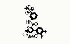 COc1c([C@@H]2C[C@](C)(C(F)(F)F)S[C@H]2C(=O)Nc2cccc(S(=O)(=O)N(C)C)c2)ccc(F)c1F